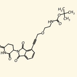 CC(C)(C)OC(=O)NCCOCC#Cc1cccc2c1C(=O)N(C1CCC(=O)NC1=O)C2=O